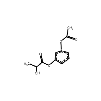 CC(=O)Oc1cccc(OC(=O)C(C)O)c1